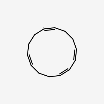 [C]1=CCCC=CC=CCCC=CCC1